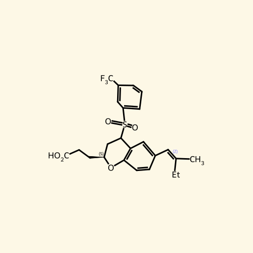 CC/C(C)=C\c1ccc2c(c1)C(S(=O)(=O)c1cccc(C(F)(F)F)c1)C[C@H](CCC(=O)O)O2